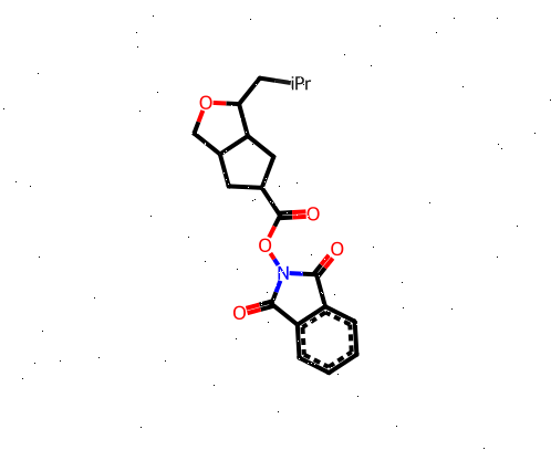 CC(C)CC1OCC2CC(C(=O)ON3C(=O)c4ccccc4C3=O)CC21